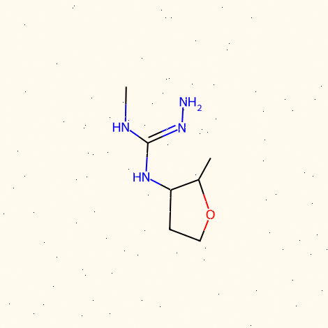 CNC(=NN)NC1CCOC1C